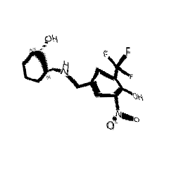 O=[N+]([O-])c1cc(CN[C@H]2CCC[C@@H]2O)cc(C(F)(F)F)c1O